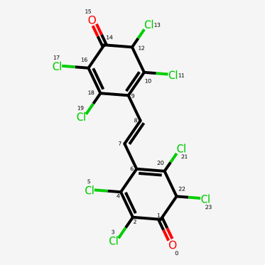 O=C1C(Cl)=C(Cl)C(C=CC2=C(Cl)C(Cl)C(=O)C(Cl)=C2Cl)=C(Cl)C1Cl